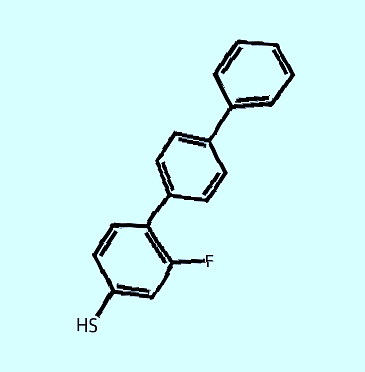 Fc1cc(S)ccc1-c1ccc(-c2ccccc2)cc1